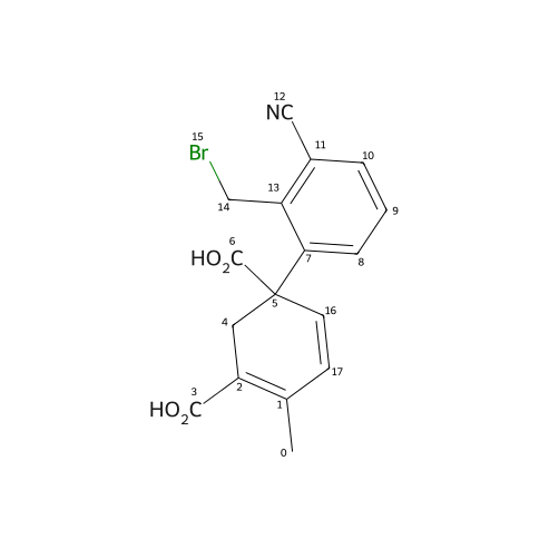 CC1=C(C(=O)O)CC(C(=O)O)(c2cccc(C#N)c2CBr)C=C1